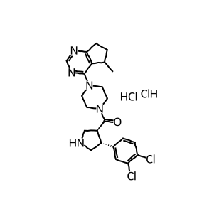 CC1CCc2ncnc(N3CCN(C(=O)[C@@H]4CNC[C@H]4c4ccc(Cl)c(Cl)c4)CC3)c21.Cl.Cl